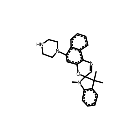 CN1c2ccccc2C(C)(C)C12C=Nc1c(cc(N3CCNCC3)c3ccccc13)O2